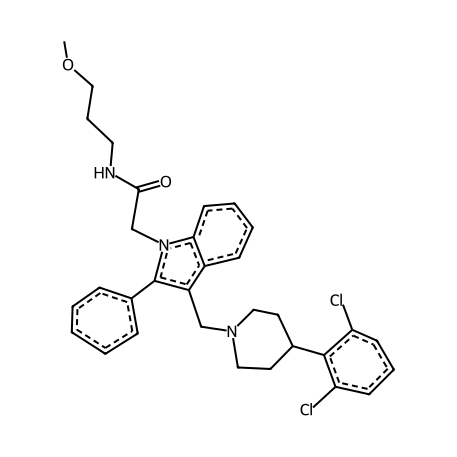 COCCCNC(=O)Cn1c(-c2ccccc2)c(CN2CCC(c3c(Cl)cccc3Cl)CC2)c2ccccc21